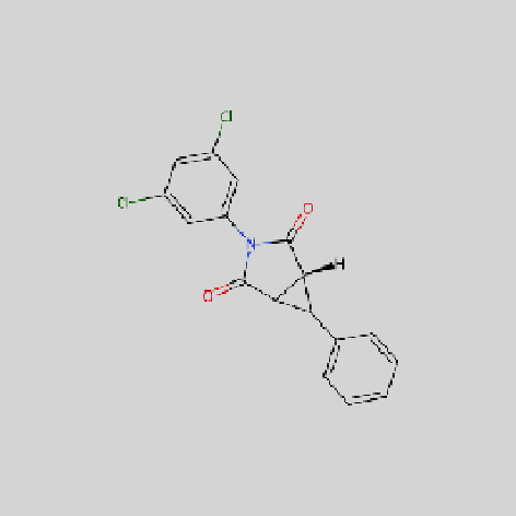 O=C1C2C(c3ccccc3)[C@H]2C(=O)N1c1cc(Cl)cc(Cl)c1